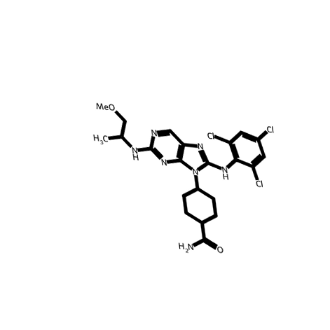 COCC(C)Nc1ncc2nc(Nc3c(Cl)cc(Cl)cc3Cl)n(C3CCC(C(N)=O)CC3)c2n1